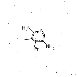 Cc1c(N)ncc(N)c1C(C)C